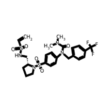 C=CS(=O)(=O)NC[C@H]1CCCN1S(=O)(=O)c1ccc(N(Cc2ccc(C(F)(F)F)cc2)C(=O)N(C)C)cc1